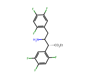 CCOC(=O)[C@H](c1cc(F)c(F)cc1F)C(N)Cc1cc(F)c(F)cc1F